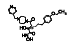 CCOc1ccc(CCC[C@@H](C(=O)N2CCN(Cc3ccncc3)CC2)[C@H](O)C(=O)NO)cc1